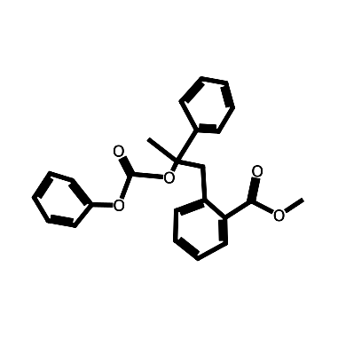 COC(=O)c1ccccc1CC(C)(OC(=O)Oc1ccccc1)c1ccccc1